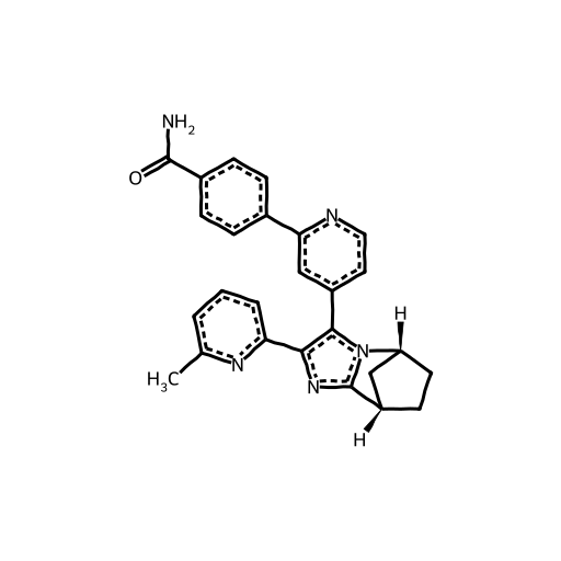 Cc1cccc(-c2nc3n(c2-c2ccnc(-c4ccc(C(N)=O)cc4)c2)[C@@H]2CC[C@H]3C2)n1